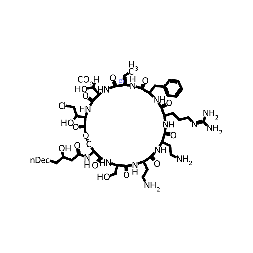 C/C=C1\NC(=O)C(Cc2ccccc2)NC(=O)C(CCCN=C(N)N)NC(=O)C(CCN)NC(=O)C(CCN)NC(=O)C(CO)NC(=O)C(NC(=O)CC(O)CCCCCCCCCCC)COC(=O)C(C(O)CCl)NC(=O)C(C(O)C(=O)O)NC1=O